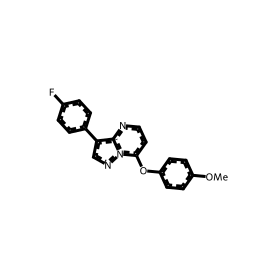 COc1ccc(Oc2ccnc3c(-c4ccc(F)cc4)cnn23)cc1